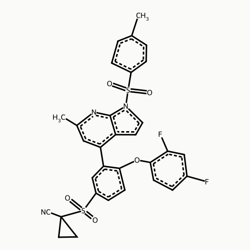 Cc1ccc(S(=O)(=O)n2ccc3c(-c4cc(S(=O)(=O)C5(C#N)CC5)ccc4Oc4ccc(F)cc4F)cc(C)nc32)cc1